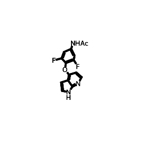 CC(=O)Nc1cc(F)c(Oc2ccnc3[nH]ccc23)c(F)c1